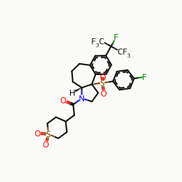 O=C(CC1CCS(=O)(=O)CC1)N1CC[C@@]2(S(=O)(=O)c3ccc(F)cc3)c3ccc(C(F)(C(F)(F)F)C(F)(F)F)cc3CCC[C@@H]12